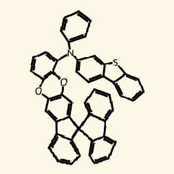 c1ccc(N(c2ccc3c(c2)sc2ccccc23)c2cccc3c2Oc2cc4c(cc2O3)-c2ccccc2C42c3ccccc3-c3ccccc32)cc1